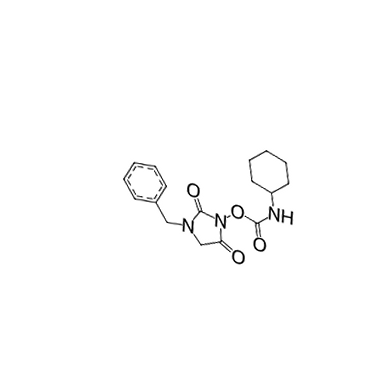 O=C(NC1CCCCC1)ON1C(=O)CN(Cc2ccccc2)C1=O